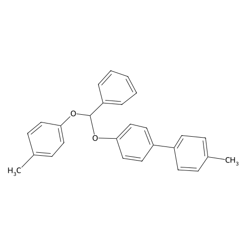 Cc1ccc(OC(Oc2ccc(-c3ccc(C)cc3)cc2)c2ccccc2)cc1